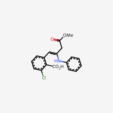 COC(=O)CC(=Cc1cccc(Cl)c1C(=O)O)Nc1ccccc1